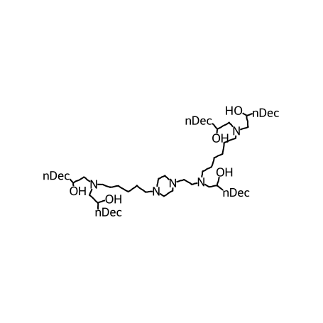 CCCCCCCCCCC(O)CN(CCCCCCN(CC(O)CCCCCCCCCC)CC(O)CCCCCCCCCC)CCN1CCN(CCCCCCN(CC(O)CCCCCCCCCC)CC(O)CCCCCCCCCC)CC1